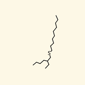 CCCCCCCCCCSCC(CC)CCCC